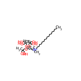 CCCCCCCCCCCCCCCCCC[N+](C)(C)CCC[Si](OCC(C)(CO)CO)(OCC(C)(CO)CO)OCC(C)(CO)CO